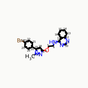 Cn1nc(OCCNc2ncnc3ccccc23)cc1-c1ccc(Br)cc1